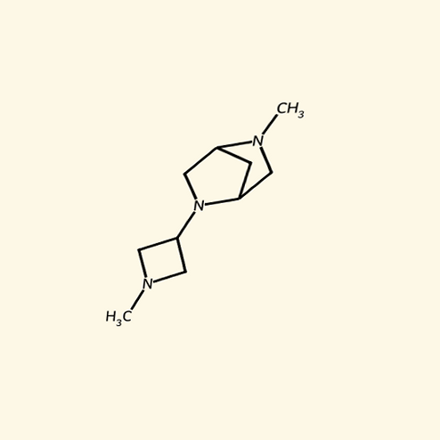 CN1CC(N2CC3CC2CN3C)C1